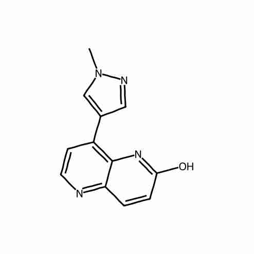 Cn1cc(-c2ccnc3ccc(O)nc23)cn1